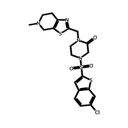 CN1CCc2nc(CN3CCN(S(=O)(=O)c4cc5ccc(Cl)cc5s4)CC3=O)sc2C1